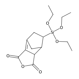 CCO[Si](OCC)(OCC)C1CC2=C3C(=O)OC(=O)C3C1C2